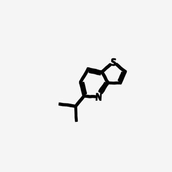 CC(C)c1ccc2sccc2n1